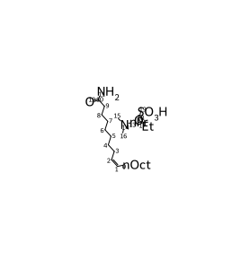 CCCCCCCC/C=C\CCCCCCCC(N)=O.CCCN(C)C.CCOS(=O)(=O)O